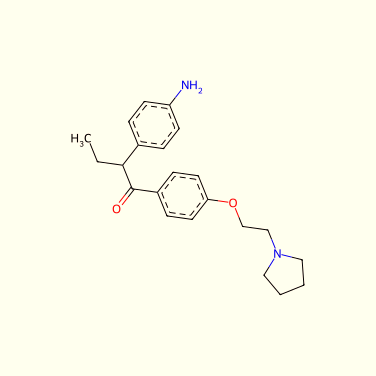 CCC(C(=O)c1ccc(OCCN2CCCC2)cc1)c1ccc(N)cc1